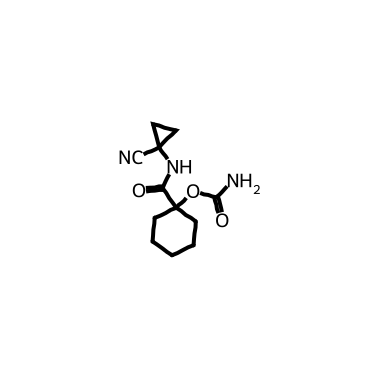 N#CC1(NC(=O)C2(OC(N)=O)CCCCC2)CC1